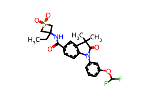 CCC1(NC(=O)c2ccc3c(c2)C(C)(C)C(=O)N3c2cccc(OC(F)F)c2)CS(=O)(=O)C1